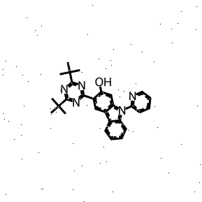 CC(C)(C)c1nc(-c2cc3c4ccccc4n(-c4ccccn4)c3cc2O)nc(C(C)(C)C)n1